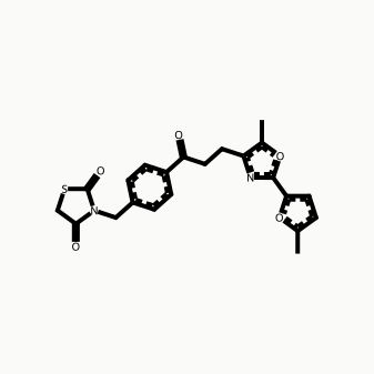 Cc1ccc(-c2nc(CCC(=O)c3ccc(CN4C(=O)CSC4=O)cc3)c(C)o2)o1